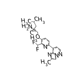 Cc1cn2nccc(-c3ccc(OC[C@@](C)(N)CC(C)C)c(C(F)F)n3)c2n1